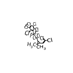 CC1(C)C(C=C(Cl)Cl)C1C(=O)OC(F)(F)c1c(Cl)c(Cl)c2c(c1Cl)OCO2